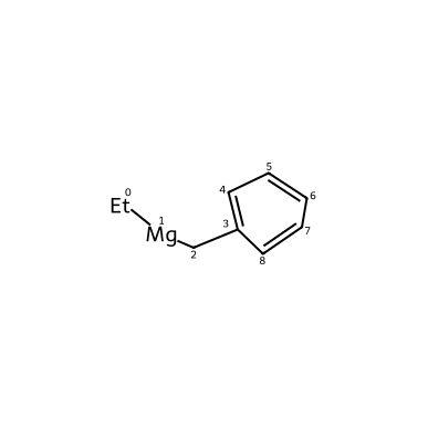 C[CH2][Mg][CH2]c1ccccc1